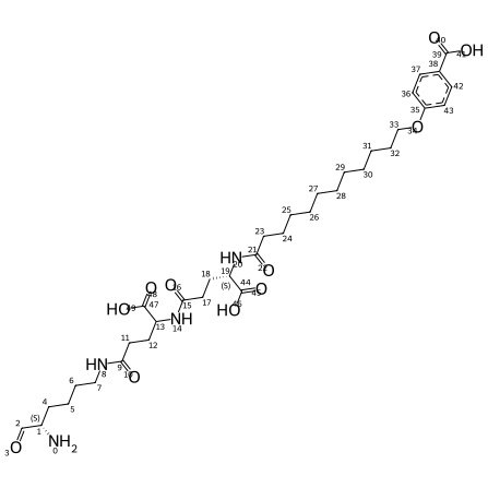 N[C@H](C=O)CCCCNC(=O)CCC(NC(=O)CC[C@H](NC(=O)CCCCCCCCCCCOc1ccc(C(=O)O)cc1)C(=O)O)C(=O)O